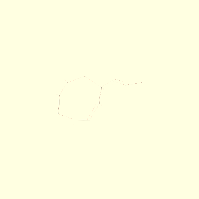 CC=CC1/C=C\CCCCC1